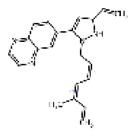 C=C/C(C)=C\C=C/CN1NC(C=C)C=C1c1ccc2nccnc2c1